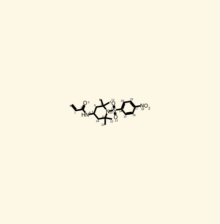 C=CC(=O)NC1CC(C)(C)N(S(=O)(=O)c2ccc([N+](=O)[O-])cc2)C(C)(C)C1